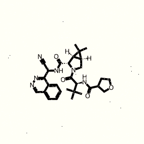 CC(C)(C)[C@H](NC(=O)C1CCOC1)C(=O)N1C[C@H]2[C@@H]([C@H]1C(=O)NC(C#N)c1nncc3ccccc13)C2(C)C